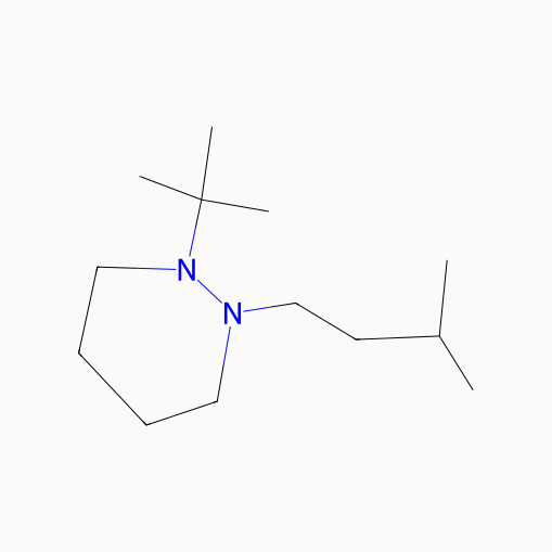 CC(C)CCN1CCCCN1C(C)(C)C